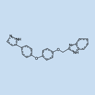 c1ccc2[nH]c(COc3ccc(Oc4ccc(-c5ccn[nH]5)cc4)cc3)nc2c1